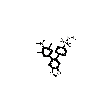 Cc1cc(-c2cc3c(cc2-c2ccc(S(N)(=O)=O)cc2)OCO3)cc(C)c1N(C)C